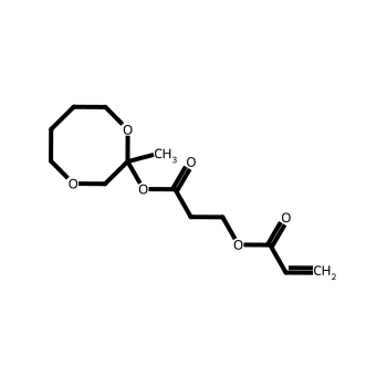 C=CC(=O)OCCC(=O)OC1(C)COCCCCO1